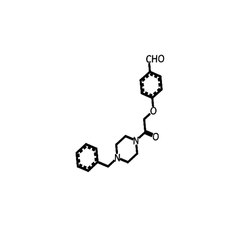 O=Cc1ccc(OCC(=O)N2CCN(Cc3ccccc3)CC2)cc1